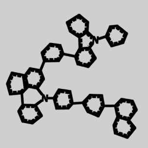 c1ccc(-c2ccccc2N(c2ccc(-c3ccc(-c4cccc5ccccc45)cc3)cc2)c2cccc(-c3cccc(-c4cccc5c4c4ccccc4n5-c4ccccc4)c3)c2)cc1